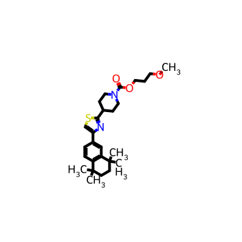 COCCCOC(=O)N1CCC(c2nc(-c3ccc4c(c3)C(C)(C)CCC4(C)C)cs2)CC1